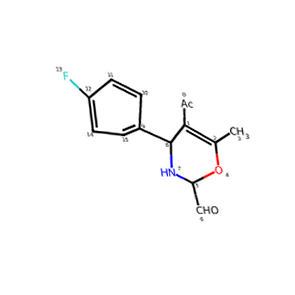 CC(=O)C1=C(C)OC(C=O)NC1c1ccc(F)cc1